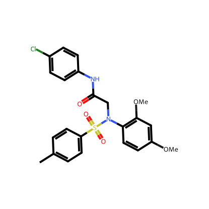 COc1ccc(N(CC(=O)Nc2ccc(Cl)cc2)S(=O)(=O)c2ccc(C)cc2)c(OC)c1